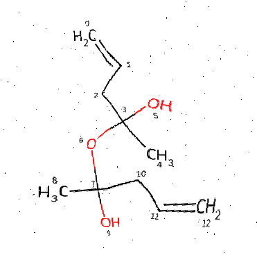 C=CCC(C)(O)OC(C)(O)CC=C